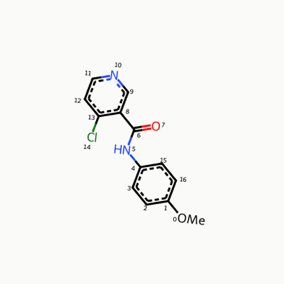 COc1ccc(NC(=O)c2cnccc2Cl)cc1